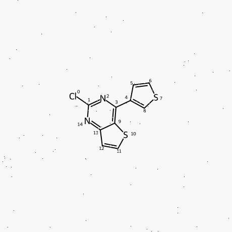 Clc1nc(-c2ccsc2)c2sccc2n1